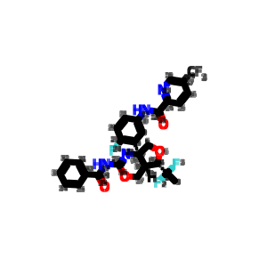 CC(F)(F)[C@H]1OC[C@]2(c3cc(NC(=O)c4ccc(C(F)(F)F)cn4)ccc3F)N=C(NC(=O)c3ccccc3)OC[C@H]12